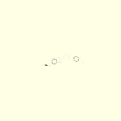 CC#CCc1ccc2c(c1)C(=O)N([C@H]1CC[C@H](Oc3ccc(C#N)c(Cl)c3)CC1)C2